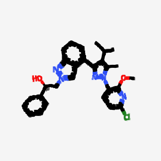 COc1nc(Cl)ccc1-n1nc(-c2cccc3nn(C[C@H](O)c4ccccc4)cc23)c(C(C)C)c1C